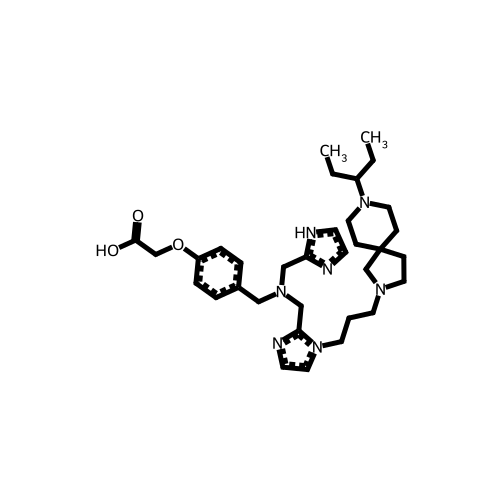 CCC(CC)N1CCC2(CCN(CCCn3ccnc3CN(Cc3ccc(OCC(=O)O)cc3)Cc3ncc[nH]3)C2)CC1